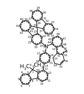 CC1(C)c2ccccc2-c2cccc(-c3ccc(N(c4ccc5c(c4)C4(c6ccccc6-c6ccccc64)c4ccccc4-5)c4cccc5sc6c(c45)CCC=C6)cc3)c21